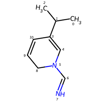 CC(C)C1=CN(C=N)CC=C1